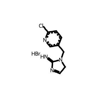 Br.N=C1N=CCN1Cc1ccc(Cl)nc1